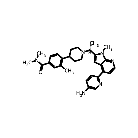 Cc1cc(C(=O)N(C)C)ccc1C1CCN([C@H](C)c2cc3c(-c4ccc(N)cn4)ccnc3n2C)CC1